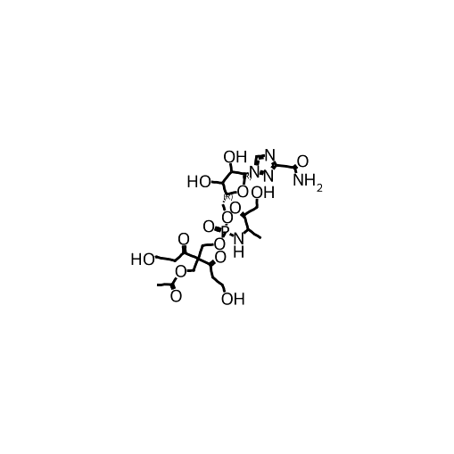 CC(=O)OCC(COP(=O)(NC(C)C(=O)CO)OC[C@H]1O[C@@H](n2cnc(C(N)=O)n2)C(O)C1O)(C(=O)CCO)C(=O)CCO